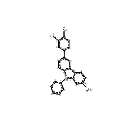 Nc1ccc(-c2ccc3c(c2)c2ccc(C=O)cc2n3-c2ccccc2)cc1N